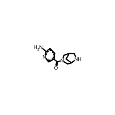 Nc1ccc(C(=O)N2CC3CNC(C3)C2)cn1